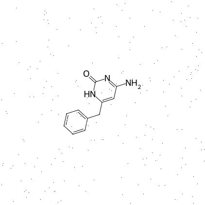 Nc1cc(Cc2ccccc2)[nH]c(=O)n1